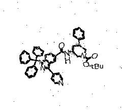 CC(C)(C)OC(=O)N1C[C@@H](NC(=O)c2ccc3c(c2)c(-c2ccncc2)nn3C(c2ccccc2)(c2ccccc2)c2ccccc2)C[C@@H](c2ccccc2)C1